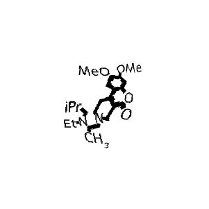 CCN(CC(C)C)C(C)CN1CCc2c(c(=O)oc3cc(OC)c(OC)cc23)C1